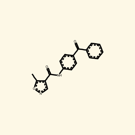 Cc1oncc1C(=O)Nc1ccc(C(=O)c2ccccc2)cc1